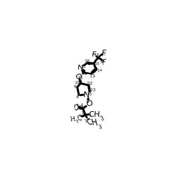 CC(C)(C)C(=O)ON1CCC(Oc2ccc(C(F)(F)F)cn2)CC1